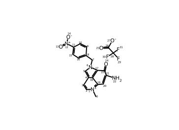 C[n+]1ccc2cn(Cc3ccc([N+](=O)[O-])cc3)c3c2c1C=C(N)C3=O.O=C([O-])C(F)(F)F